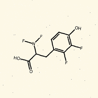 O=C(O)C(Cc1ccc(O)c(F)c1F)N(F)F